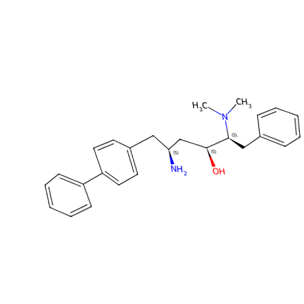 CN(C)[C@@H](Cc1ccccc1)[C@@H](O)C[C@@H](N)Cc1ccc(-c2ccccc2)cc1